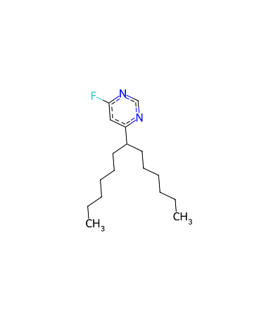 CCCCCCC(CCCCCC)c1cc(F)ncn1